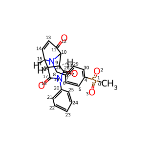 CS(=O)(=O)c1ccc(CN2C3C(=O)C=C[C@H]2[C@@H]2C(=O)N(c4ccccc4)C(=O)[C@H]32)cc1